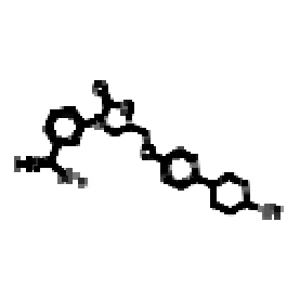 CCCC1CCC(c2ccc(OCC3CN(c4cccc(C(=N)N)c4)C(=O)O3)cc2)CC1